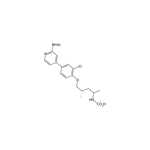 CC(=O)Nc1cc(-c2ccc(OC[C@@H](C)CC(C)NC(=O)O)c(Cl)c2)ccn1